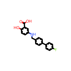 O=C(O)c1cc(NCc2ccc(-c3ccc(F)cc3)cc2)ccc1O